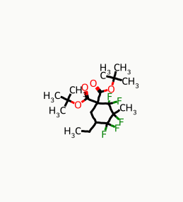 CCC1CC(C(=O)OC(C)(C)C)(C(=O)OC(C)(C)C)C(F)(F)C(C)(F)C1(F)F